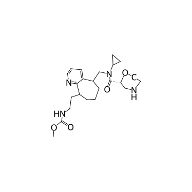 COC(=O)NCCC1CCCC(CN(C(=O)[C@H]2CNCCO2)C2CC2)c2cccnc21